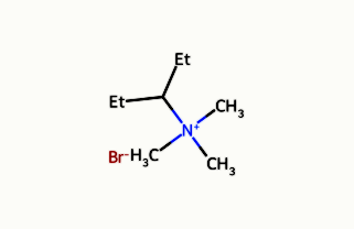 CCC(CC)[N+](C)(C)C.[Br-]